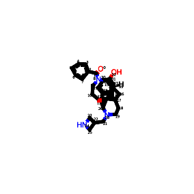 O=C(c1ccccc1)N1CCCC23C[C@H](C1)CC21CCN(CC2CNC2)C3Cc2ccc(O)cc21